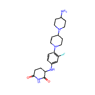 NC1CCN(C2CCN(c3ccc(NC4CCC(=O)NC4=O)cc3F)CC2)CC1